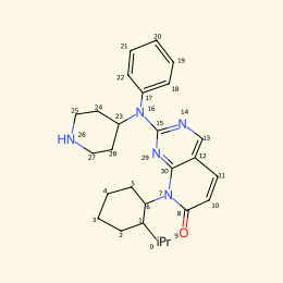 CC(C)C1CCCCC1n1c(=O)ccc2cnc(N(c3ccccc3)C3CCNCC3)nc21